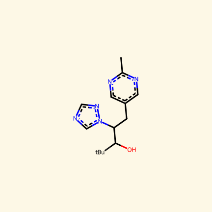 Cc1ncc(CC(C(O)C(C)(C)C)n2cncn2)cn1